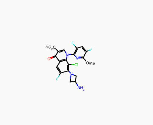 COc1nc(-n2cc(C(=O)O)c(=O)c3cc(F)c(N4CC(N)C4)c(Cl)c32)c(F)cc1F